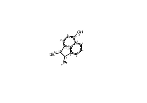 CC(C)C1c2cccc3c(O)ccc(c23)C1C(C)(C)C